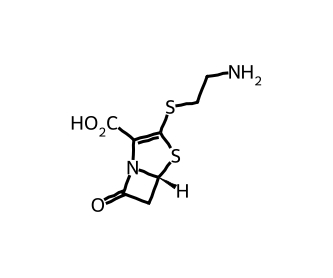 NCCSC1=C(C(=O)O)N2C(=O)C[C@H]2S1